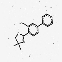 CCCc1cc(-c2ccccc2)ccc1C1=NC(C)(C)CO1